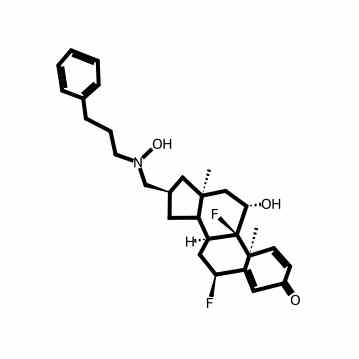 C[C@@]12C[C@H](CN(O)CCCc3ccccc3)CC1[C@@H]1C[C@H](F)C3=CC(=O)C=C[C@]3(C)[C@@]1(F)[C@@H](O)C2